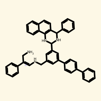 NC/C(=C\NCc1cc(-c2ccc(-c3ccccc3)cc2)cc(C2Nc3c(ccc4ccccc34)C(c3ccccc3)N2)c1)c1ccccc1